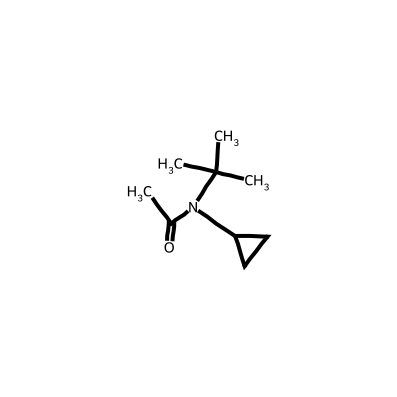 CC(=O)N(C1CC1)C(C)(C)C